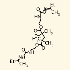 CCC(C)=NOC(=O)NCCOC(=O)C(C)(C)CC(C)(CC)C(=O)OCCNC(=O)ON=C(C)CC